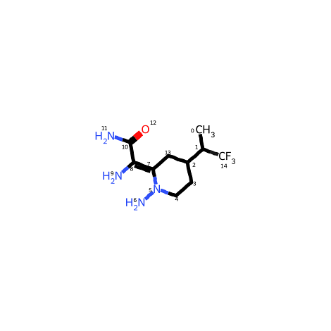 CC(C1CCN(N)/C(=C(\N)C(N)=O)C1)C(F)(F)F